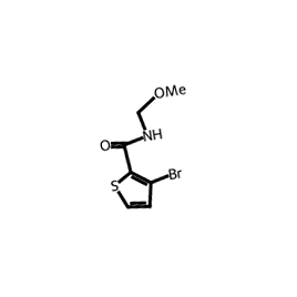 COCNC(=O)c1sccc1Br